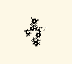 CCOC(=O)[C@H](Cc1ccc(NC(=O)c2c(Cl)cncc2Cl)cc1)NC(=O)C1C[C@@H](N2CCCC(F)(F)C2)CN1S(=O)(=O)c1cc(F)cc(F)c1